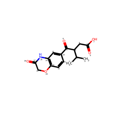 CC(C)C(CC(=O)O)C(=O)c1ccc2c(c1)NC(=O)CO2